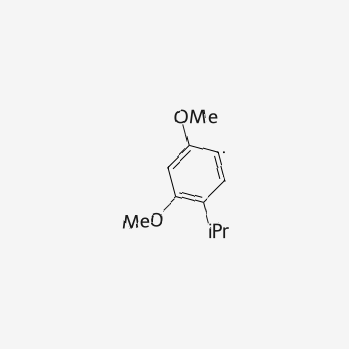 COc1[c]cc(C(C)C)c(OC)c1